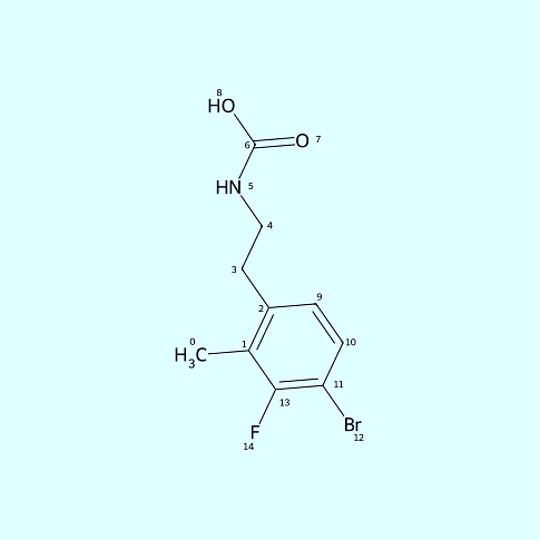 Cc1c(CCNC(=O)O)ccc(Br)c1F